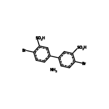 N.O=S(=O)(O)c1cc(-c2ccc(Br)c(S(=O)(=O)O)c2)ccc1Br